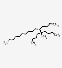 CCCCCCCCCCC(CCCC)C(N)(CCCC)CCCC